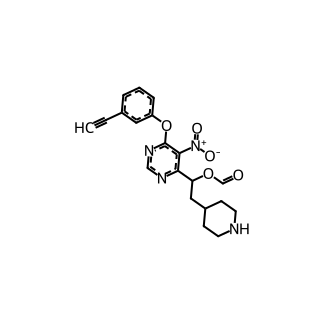 C#Cc1cccc(Oc2ncnc(C(CC3CCNCC3)OC=O)c2[N+](=O)[O-])c1